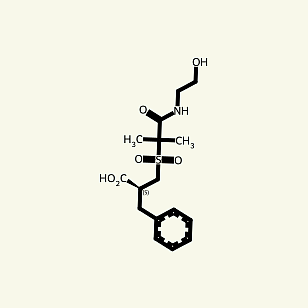 CC(C)(C(=O)NCCO)S(=O)(=O)C[C@@H](Cc1ccccc1)C(=O)O